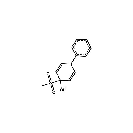 CS(=O)(=O)C1(O)C=CC(c2ccccc2)C=C1